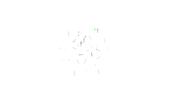 COc1cc(C)cc([Si](c2cc(C)cc(OC)c2)(c2cc(C)cc(OC)c2)C2(C)C(C)=C(C)C(C)=[C]2[Ti+3])c1.[Cl-].[Cl-].[Cl-]